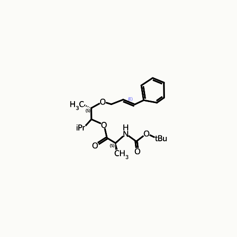 CC(C)C(OC(=O)[C@H](C)NC(=O)OC(C)(C)C)[C@H](C)OC/C=C/c1ccccc1